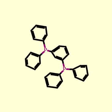 c1ccc(P(c2ccccc2)c2cccc(P(c3ccccc3)c3ccccc3)c2)cc1